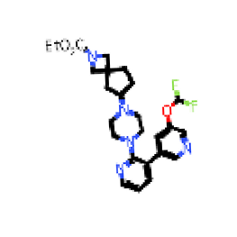 CCOC(=O)N1CC2(CCC(N3CCN(c4ncccc4-c4cncc(OC(F)F)c4)CC3)C2)C1